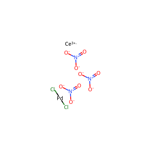 O=[N+]([O-])[O-].O=[N+]([O-])[O-].O=[N+]([O-])[O-].[Ce+3].[Cl][Pd][Cl]